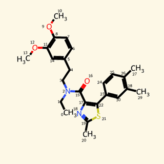 CCN(CCc1ccc(OC)c(OC)c1)C(=O)c1nc(C)sc1-c1ccc(C)c(C)c1